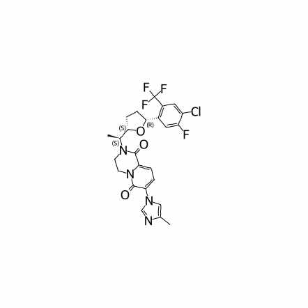 Cc1cn(-c2ccc3n(c2=O)CCN([C@@H](C)[C@@H]2CC[C@H](c4cc(F)c(Cl)cc4C(F)(F)F)O2)C3=O)cn1